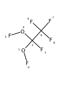 FOC(F)(OF)C(F)(F)F